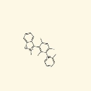 Cc1cc(C)c(-[n+]2ccccc2C)c(C)c1-c1c2ccccc2o[n+]1C